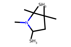 CN1C([SiH3])CC(C)(C)C1(C)[SiH3]